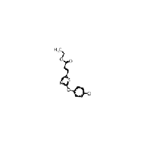 CCOC(=O)/C=C/c1cnc(Oc2ccc(Cl)cc2)s1